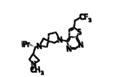 CC(C)[C@@H](C1CN(C)C1)N1CC2(CCN(c3ncnc4sc(CC(F)(F)F)cc34)C2)C1